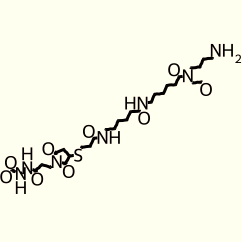 NCCCCN(CC=O)C(=O)CCCCCNC(=O)CCCCCNC(=O)CCSC1CC(=O)N(CCC(=O)NNC(=O)O)C1=O